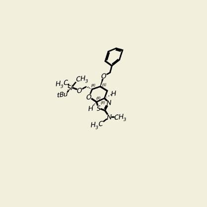 CN(C)C1=N[C@@H]2C[C@H](OCc3ccccc3)[C@@H](CO[Si](C)(C)C(C)(C)C)O[C@@H]2S1